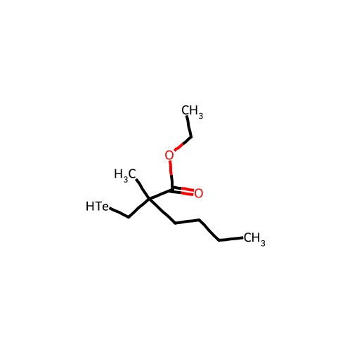 CCCCC(C)(C[TeH])C(=O)OCC